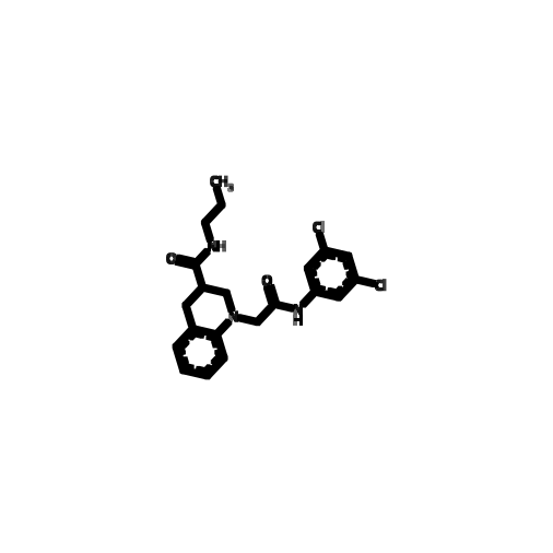 CCCNC(=O)C1Cc2ccccc2N(CC(=O)Nc2cc(Cl)cc(Cl)c2)C1